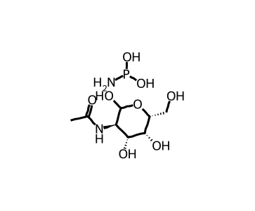 CC(=O)N[C@H]1C(O)O[C@H](CO)[C@H](O)[C@@H]1O.NP(O)O